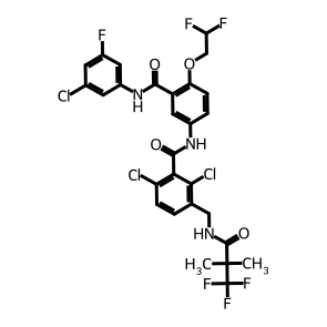 CC(C)(C(=O)NCc1ccc(Cl)c(C(=O)Nc2ccc(OCC(F)F)c(C(=O)Nc3cc(F)cc(Cl)c3)c2)c1Cl)C(F)(F)F